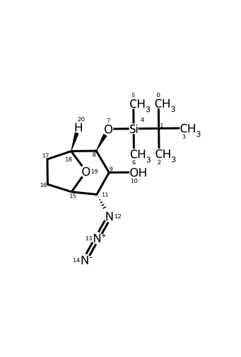 CC(C)(C)[Si](C)(C)O[C@H]1C(O)[C@H](N=[N+]=[N-])C2CC[C@H]1O2